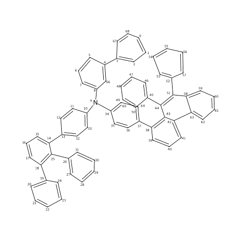 c1ccc(-c2cccc(N(c3ccc(-c4cccc(-c5ccccc5)c4-c4ccccc4)cc3)c3ccc(-c4cccc5c4c(-c4ccccc4)c(-c4ccccc4)c4ccccc45)cc3)c2)cc1